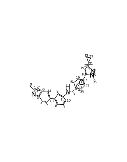 Cc1nc2ccc(-c3cccc(NCC45CCC(c6cc(C7CC7)nn6C)(CC4)CC5)c3)cc2s1